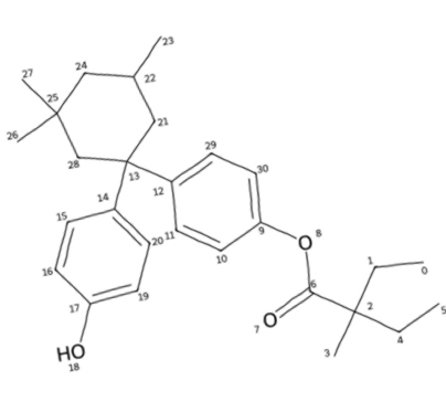 CCC(C)(CC)C(=O)Oc1ccc(C2(c3ccc(O)cc3)CC(C)CC(C)(C)C2)cc1